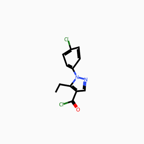 CCc1c(C(=O)Cl)cnn1-c1ccc(Cl)cc1